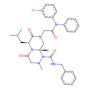 CC(C)C[C@H]1C(=O)N(CC(=O)N(c2ccccc2)c2cccc(Cl)c2)C[C@H]2N1C(=O)CN(C)N2C(=O)NCc1ccccc1